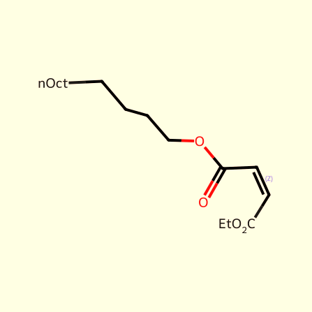 CCCCCCCCCCCCOC(=O)/C=C\C(=O)OCC